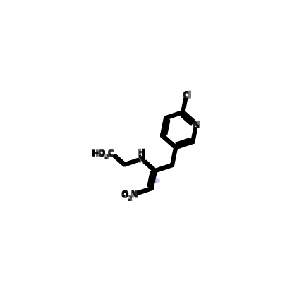 O=C(O)CN/C(=C\[N+](=O)[O-])Cc1ccc(Cl)nc1